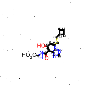 O=C(O)CNC(=O)c1c(O)cc(SCC2CCC2)n2ncnc12